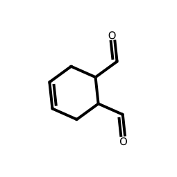 O=CC1CC=CCC1C=O